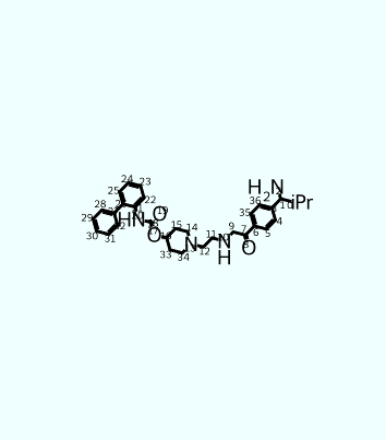 CC(C)C(N)c1ccc(C(=O)CNCCN2CCC(OC(=O)Nc3ccccc3-c3ccccc3)CC2)cc1